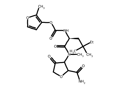 CCC(C)(C)C[C@H](NC(=O)Oc1ccoc1C)C(=O)N(C)C1C(=O)COC1C(N)=O